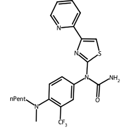 CCCCCN(C)c1ccc(N(C(N)=O)c2nc(-c3ccccn3)cs2)cc1C(F)(F)F